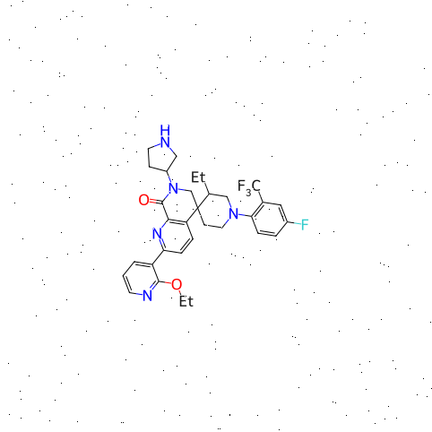 CCOc1ncccc1-c1ccc2c(n1)C(=O)N(C1CCNC1)CC21CCN(c2ccc(F)cc2C(F)(F)F)CC1CC